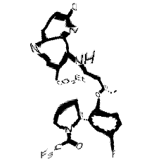 CCOC(=O)C1=C(NCC[C@H](C)Oc2ccc(F)cc2[C@H]2CCCN2C(=O)C(F)(F)F)C2=NC(Cl)=CCC2N=C1